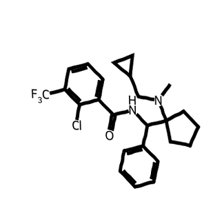 CN(CC1CC1)C1(C(NC(=O)c2cccc(C(F)(F)F)c2Cl)c2ccccc2)CCCC1